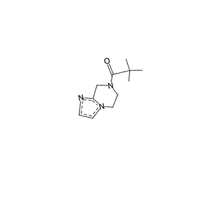 CC(C)(C)C(=O)N1CCn2ccnc2C1